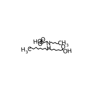 CCCCCCCCCCCCCCCC(=O)O.CCCCCNCCS(=O)(=O)O